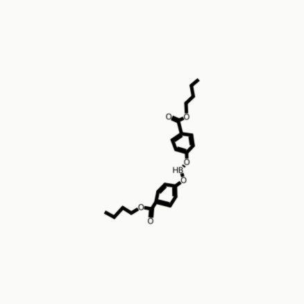 CCCCOC(=O)c1ccc(OBOc2ccc(C(=O)OCCCC)cc2)cc1